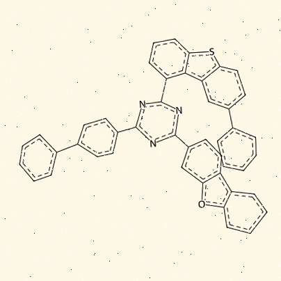 c1ccc(-c2ccc(-c3nc(-c4ccc5c(c4)oc4ccccc45)nc(-c4cccc5sc6ccc(-c7ccccc7)cc6c45)n3)cc2)cc1